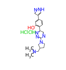 CN(C)CC1CCN(c2ncc(-c3ccc(-c4cn[nH]c4)cc3O)nn2)C1.Cl.Cl